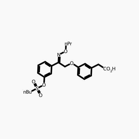 CCCCS(=O)(=O)Oc1cccc(/C(COc2cccc(CC(=O)O)c2)=N/OCCC)c1